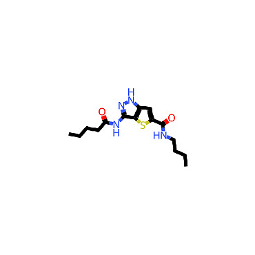 CCCCNC(=O)c1cc2[nH]nc(NC(=O)CCCC)c2s1